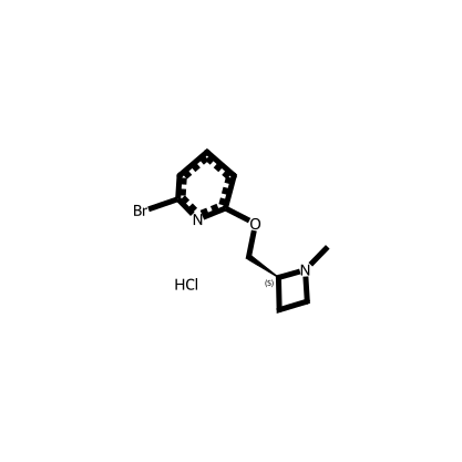 CN1CC[C@H]1COc1cccc(Br)n1.Cl